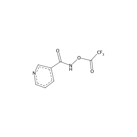 O=C(NOC(=O)C(F)(F)F)c1cccnc1